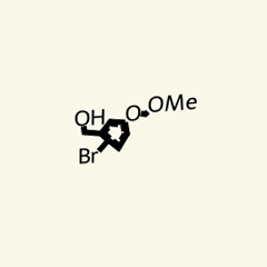 COCOc1ccc(Br)c(CO)c1